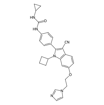 N#Cc1c(-c2ccc(NC(=O)NC3CC3)cc2)n(C2CCC2)c2cc(OCCn3ccnc3)ccc12